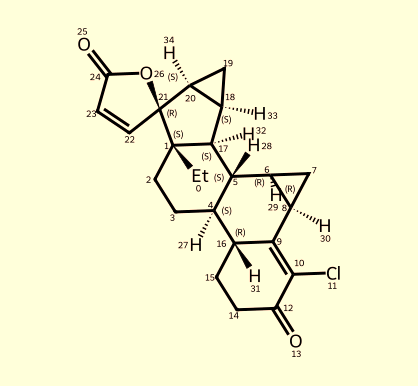 CC[C@]12CC[C@H]3[C@@H]([C@H]4C[C@H]4C4=C(Cl)C(=O)CC[C@@H]43)[C@@H]1[C@@H]1C[C@@H]1[C@@]21C=CC(=O)O1